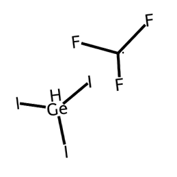 F[C](F)F.[I][GeH]([I])[I]